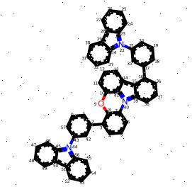 c1cc(-c2cccc3c2Oc2cccc4c5c(-c6cccc(-n7c8ccccc8c8ccccc87)c6)cccc5n-3c24)cc(-n2c3ccccc3c3ccccc32)c1